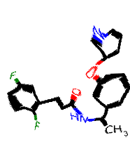 CC(NC(=O)/C=C/c1cc(F)ccc1F)c1cccc(Oc2cccnc2)c1